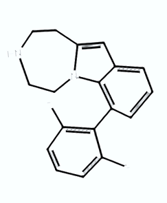 Fc1cccc(F)c1-c1cccc2cc3n(c12)CCNCC3